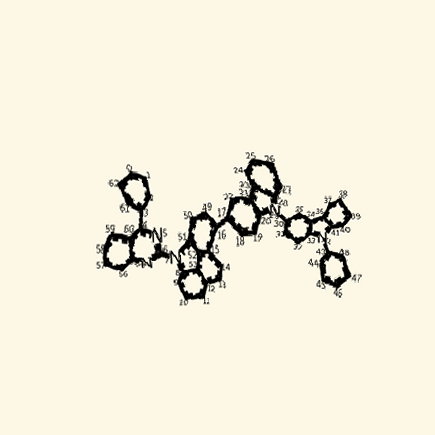 c1ccc(-c2nc(-n3c4cccc5ccc6c(-c7ccc8c(c7)c7ccccc7n8-c7ccc8c(c7)c7ccccc7n8-c7ccccc7)ccc3c6c54)nc3ccccc23)cc1